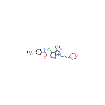 Cc1ccc(NC(=O)c2cnc3c(c(C)cn3CCCN3CCOCC3)c2Cl)cc1